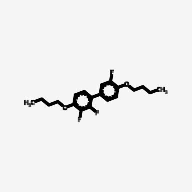 CCCCOc1ccc(-c2ccc(OCCCC)c(F)c2F)cc1F